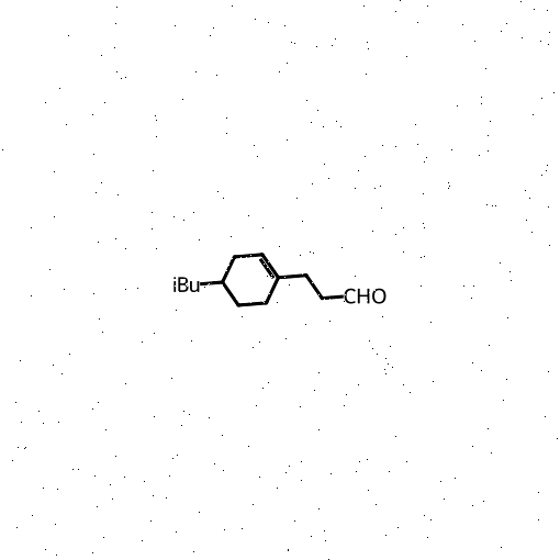 CCC(C)C1CC=C(CCC=O)CC1